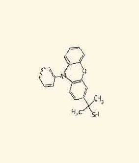 CC(C)(S)c1ccc2c(c1)Oc1ccccc1N2c1ccccc1